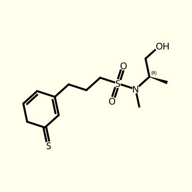 C[C@H](CO)N(C)S(=O)(=O)CCCC1=CC(=S)CC=C1